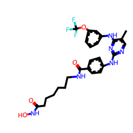 Cc1cnc(Nc2ccc(C(=O)NCCCCCCC(=O)NO)cc2)nc1Nc1cccc(OC(F)(F)F)c1